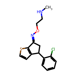 CNCCON=C1CC(c2ccccc2Cl)c2ccsc21